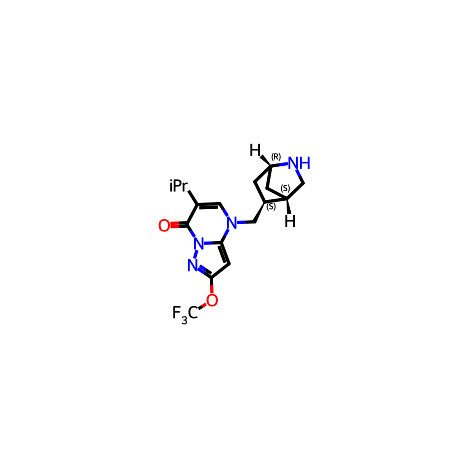 CC(C)c1cn(C[C@H]2C[C@H]3C[C@@H]2CN3)c2cc(OC(F)(F)F)nn2c1=O